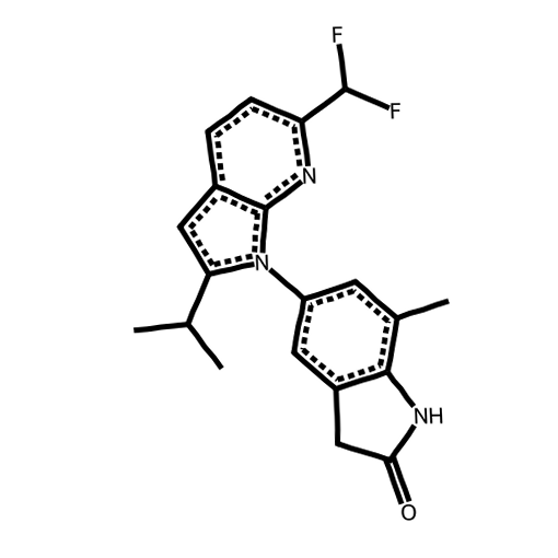 Cc1cc(-n2c(C(C)C)cc3ccc(C(F)F)nc32)cc2c1NC(=O)C2